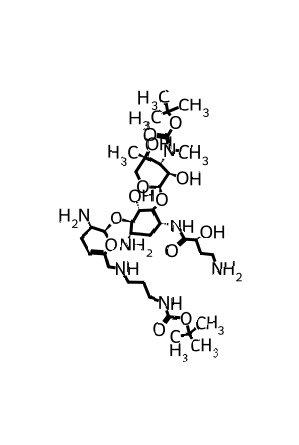 CN(C(=O)OC(C)(C)C)[C@@H]1[C@@H](O)[C@@H](O[C@@H]2[C@@H](O)[C@H](O[C@H]3OC(CNCCCNC(=O)OC(C)(C)C)=CC[C@H]3N)[C@@H](N)C[C@H]2NC(=O)[C@H](O)CCN)OC[C@]1(C)O